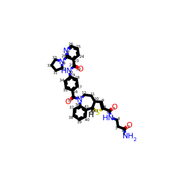 NC(=O)CCNC(=O)C1=CC2CCN(C(=O)c3ccc(NC(=O)c4cccnc4N4CCCC4)cc3)c3ccccc3[C@H]2S1